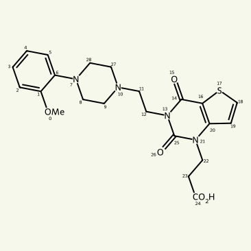 COc1ccccc1N1CCN(CCn2c(=O)c3sccc3n(CCC(=O)O)c2=O)CC1